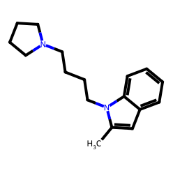 Cc1cc2ccccc2n1CCCCN1CCCC1